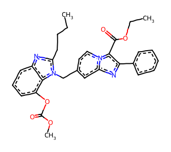 CCCCc1nc2cccc(OC(=O)OC)c2n1Cc1ccn2c(C(=O)OCC)c(-c3ccccc3)nc2c1